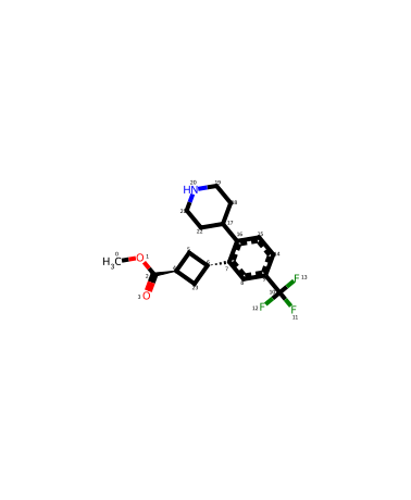 COC(=O)[C@H]1C[C@H](c2cc(C(F)(F)F)ccc2C2CCNCC2)C1